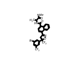 CNC(=O)C(C)NC(=O)c1ccc(C2=NOC(c3cc(Br)cc(C(F)(F)F)c3)(C(F)(F)F)C2)c2ccccc12